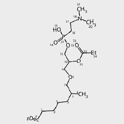 CCCCCCCCCCCCCCC(C)COCC(COP(=O)(O)CCN(C)C)OC(=O)CC